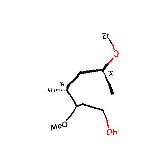 CCO[C@@H](C)C[C@@H](C)C(CO)OC